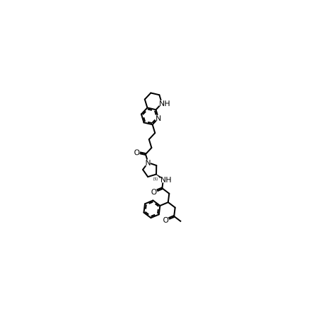 CC(=O)CC(CC(=O)N[C@H]1CCN(C(=O)CCCc2ccc3c(n2)NCCC3)C1)c1ccccc1